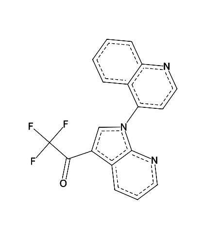 O=C(c1cn(-c2ccnc3ccccc23)c2ncccc12)C(F)(F)F